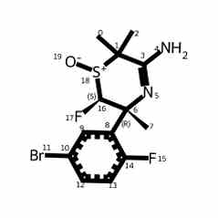 CC1(C)C(N)=N[C@](C)(c2cc(Br)ccc2F)[C@@H](F)[S+]1[O-]